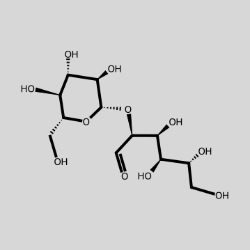 O=C[C@@H](O[C@@H]1O[C@H](CO)[C@@H](O)[C@H](O)[C@H]1O)[C@@H](O)[C@H](O)[C@H](O)CO